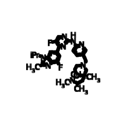 Cc1nc2c(F)cc(-c3nc(Nc4ccc(CN5CCO[C@](C)(C[C@@H](C)N(C)C)C5)cn4)ncc3F)cc2n1C(C)C